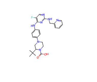 CC(C)(C)C1CN(c2ccc(Nc3nc(NCc4ccccn4)ncc3F)cc2)CCN1C(=O)O